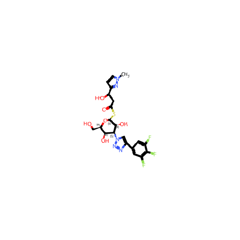 Cn1ccc(C(O)CC(=O)S[C@@H]2O[C@H](CO)[C@H](O)[C@H](n3cc(-c4cc(F)c(F)c(F)c4)nn3)[C@H]2O)n1